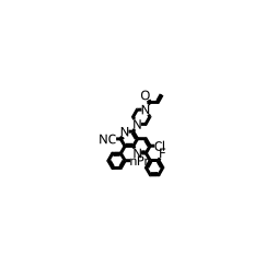 C=CC(=O)N1CCN(c2nc(C#N)c(-c3ccccc3CCC)c3nc(-c4ccccc4F)c(Cl)cc23)CC1